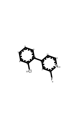 Fc1cc(-c2[c]cccc2Cl)ccn1